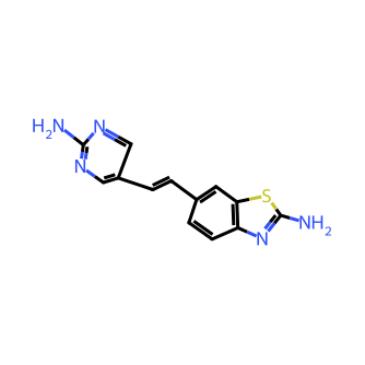 Nc1ncc(/C=C/c2ccc3nc(N)sc3c2)cn1